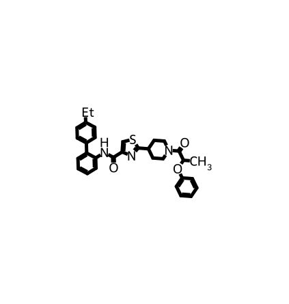 CCc1ccc(-c2ccccc2NC(=O)c2csc(C3CCN(C(=O)C(C)Oc4ccccc4)CC3)n2)cc1